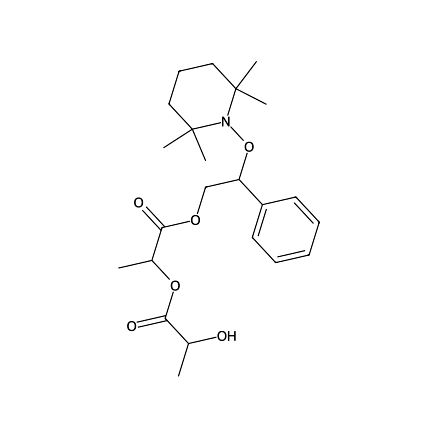 CC(O)C(=O)OC(C)C(=O)OCC(ON1C(C)(C)CCCC1(C)C)c1ccccc1